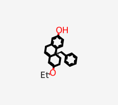 CCOC1=CC2=CCc3cc(O)ccc3[C@]2(Cc2ccccc2)CC1